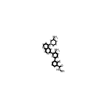 CC(C)NC(=O)c1cccc(-c2ccc(N)c(-c3cc4c(N5CCCC(N)C5)ccnc4cn3)n2)c1F